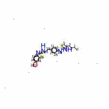 CCCCC1CS/C(=N\c2ccc(CCNc3nc4ccc(OC)cc4s3)cc2)N1